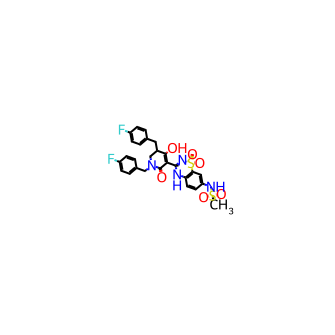 CS(=O)(=O)Nc1ccc2c(c1)S(=O)(=O)N=C(C1=C(O)C(Cc3ccc(F)cc3)CN(Cc3ccc(F)cc3)C1=O)N2